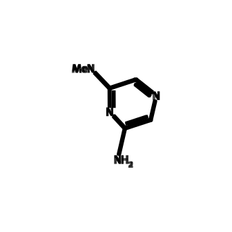 CNc1cncc(N)n1